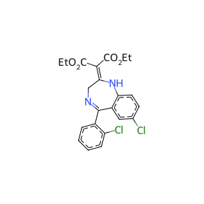 CCOC(=O)C(C(=O)OCC)=C1CN=C(c2ccccc2Cl)c2cc(Cl)ccc2N1